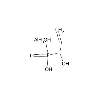 C=CC(O)P(=O)(O)O.[AlH3]